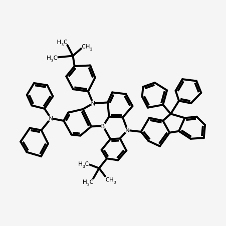 CC(C)(C)c1ccc(N2c3cc(N(c4ccccc4)c4ccccc4)ccc3B3c4cc(C(C)(C)C)ccc4N(c4ccc5c(c4)C(c4ccccc4)(c4ccccc4)c4ccccc4-5)c4cccc2c43)cc1